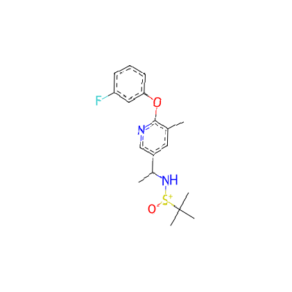 Cc1cc(C(C)N[S+]([O-])C(C)(C)C)cnc1Oc1cccc(F)c1